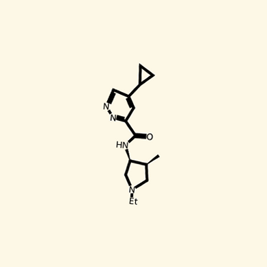 CCN1C[C@H](C)[C@H](NC(=O)c2cc(C3CC3)cnn2)C1